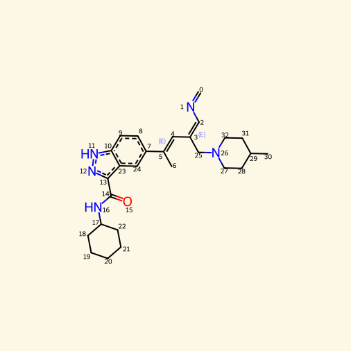 C=N/C=C(\C=C(/C)c1ccc2[nH]nc(C(=O)NC3CCCCC3)c2c1)CN1CCC(C)CC1